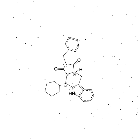 O=C1[C@H]2Cc3c([nH]c4ccccc34)[C@H](C3CCCCC3)N2C(=O)N1Cc1ccccc1